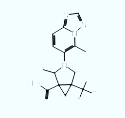 Cc1c(N2CC3(C(F)(F)F)CC3(C(=O)O)C2C)ccc2ncnn12